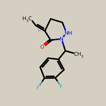 C/C=C1\CCNN(C(C)c2ccc(F)c(F)c2)C1=O